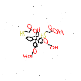 O=C(O)CCS.O=C(O)CCS.OCCOc1ccc(C2(c3ccc(OCCO)cc3)c3ccccc3-c3ccccc32)cc1